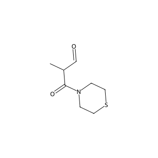 CC(C=O)C(=O)N1CCSCC1